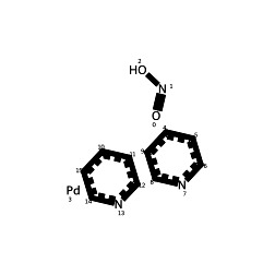 O=NO.[Pd].c1ccncc1.c1ccncc1